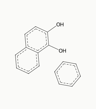 Oc1ccc2ccccc2c1O.c1ccccc1